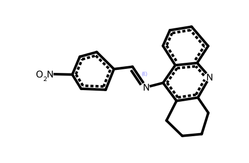 O=[N+]([O-])c1ccc(/C=N/c2c3c(nc4ccccc24)CCCC3)cc1